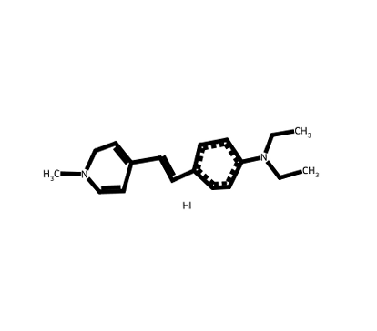 CCN(CC)c1ccc(C=CC2=CCN(C)C=C2)cc1.I